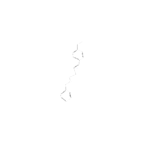 CCc1ccc(/C=C/CCOCc2ccccc2)cc1